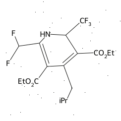 CCOC(=O)C1=C(C(F)F)NC(C(F)(F)F)C(C(=O)OCC)=C1CC(C)C